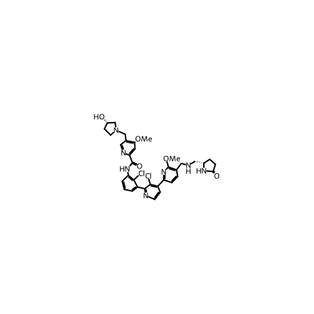 COc1cc(C(=O)Nc2cccc(-c3nccc(-c4ccc(CNC[C@@H]5CCC(=O)N5)c(OC)n4)c3Cl)c2Cl)ncc1CN1CC[C@H](O)C1